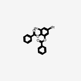 CC(C)c1cc(OC(=O)c2ccccc2)c(OC(=O)c2ccccc2)c(C(C)C)c1